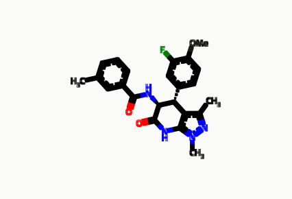 COc1ccc([C@@H]2c3c(C)nn(C)c3NC(=O)[C@H]2NC(=O)c2cccc(C)c2)cc1F